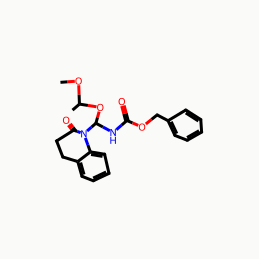 COC(C)OC(NC(=O)OCc1ccccc1)N1C(=O)CCc2ccccc21